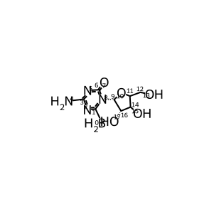 Bc1nc(N)nc(=O)n1[C@@H]1OC(CO)C(O)[C@@H]1O